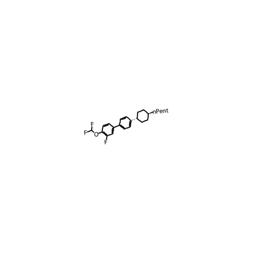 CCCCC[C@H]1CC[C@H](c2ccc(-c3ccc(OC(F)F)c(F)c3)cc2)CC1